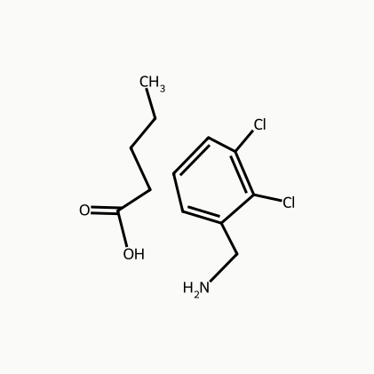 CCCCC(=O)O.NCc1cccc(Cl)c1Cl